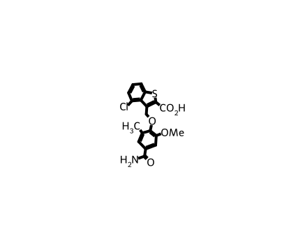 COc1cc(C(N)=O)cc(C)c1OCc1c(C(=O)O)sc2cccc(Cl)c12